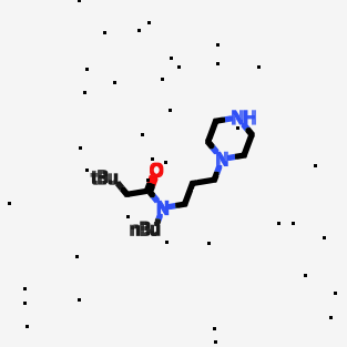 CCCCN(CCCN1CCNCC1)C(=O)CC(C)(C)C